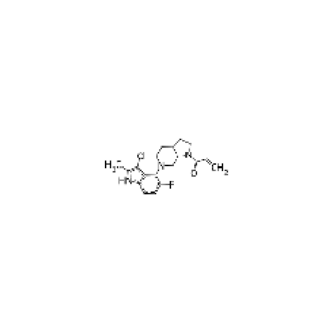 C=CC(=O)N1CCC2CCN(c3c(F)ccc4[nH]c(C)c(Cl)c34)CC21